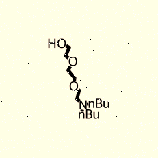 CCCCN(CCCC)CCOCCOCCO